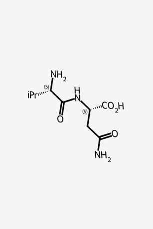 CC(C)[C@H](N)C(=O)N[C@@H](CC(N)=O)C(=O)O